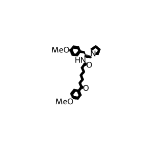 COc1ccc(C[C@@H](CN2CCCC2)NC(=O)CCCCCC(=O)c2ccc(OC)cc2)cc1